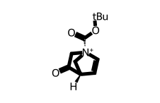 CC(C)(C)OC(=O)[N@+]12C=C[C@@H](C1)C(=O)C2